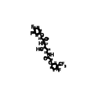 O=C(COc1ccc(F)c(C(F)(F)F)c1)NCC[C@H](O)CNC(=O)COc1ccc(F)c(F)c1